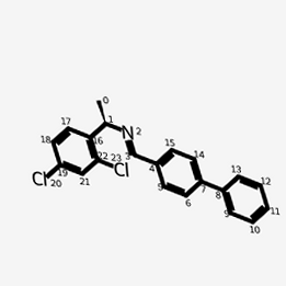 C[C@@H](N=Cc1ccc(-c2ccccc2)cc1)c1ccc(Cl)cc1Cl